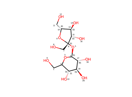 OCC1O[C@@H](O[C@]2(CO)O[C@H](CO)[C@@H](O)[C@@H]2O)[C@H](O)[C@@H](O)[C@@H]1O